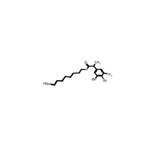 CCCCCCCCCCCCCCCCCCOC(=O)C(C)c1cc(C)c(O)c(C(C)(C)C)c1